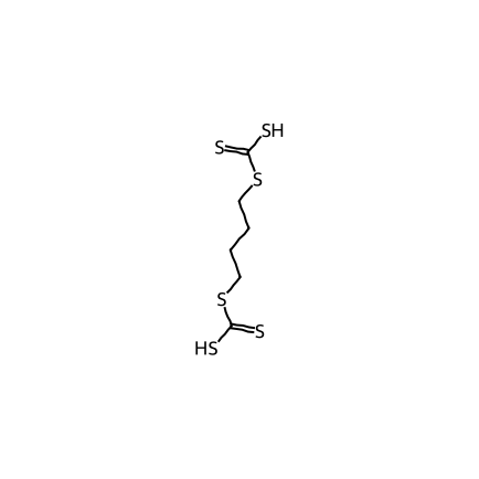 S=C(S)SCCCCSC(=S)S